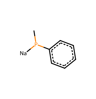 C[P]([Na])c1ccccc1